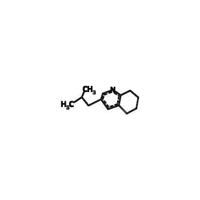 CC(C)Cc1cnc2c(c1)CCCC2